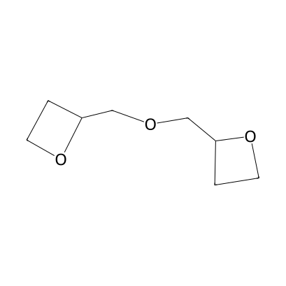 C1CC(COCC2CCO2)O1